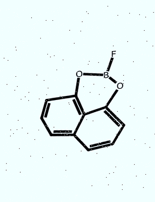 FB1Oc2cccc3cccc(c23)O1